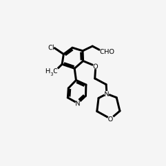 Cc1c(Cl)cc(CC=O)c(OCCN2CCOCC2)c1-c1ccncc1